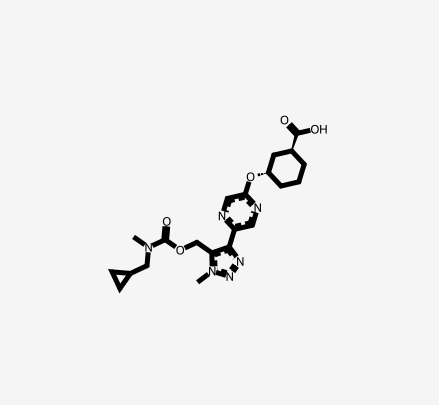 CN(CC1CC1)C(=O)OCc1c(-c2cnc(O[C@H]3CCC[C@H](C(=O)O)C3)cn2)nnn1C